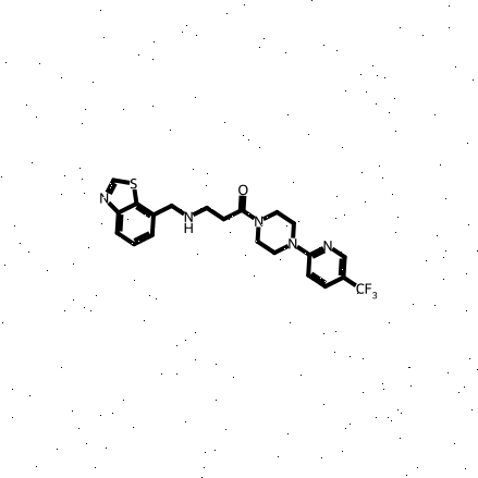 O=C(CCNCc1cccc2ncsc12)N1CCN(c2ccc(C(F)(F)F)cn2)CC1